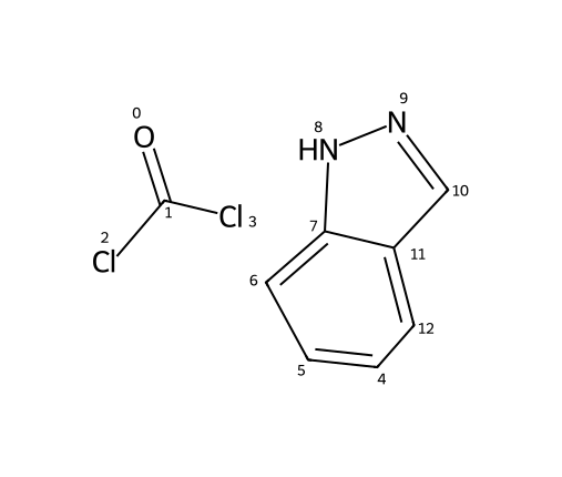 O=C(Cl)Cl.c1ccc2[nH]ncc2c1